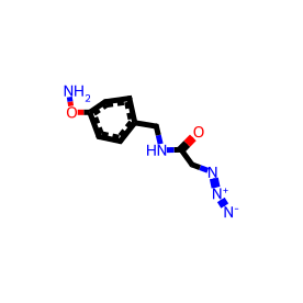 [N-]=[N+]=NCC(=O)NCc1ccc(ON)cc1